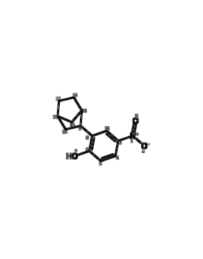 O=[N+]([O-])c1ccc(O)c(C2CC3CCC2C3)c1